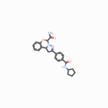 CC(=O)C1Oc2ccccc2C2CC(c3ccc(C(=O)NC4CCCC4)cc3)=NN12